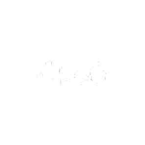 CCCO[SiH](CCCN1CCOCC1)OCCC